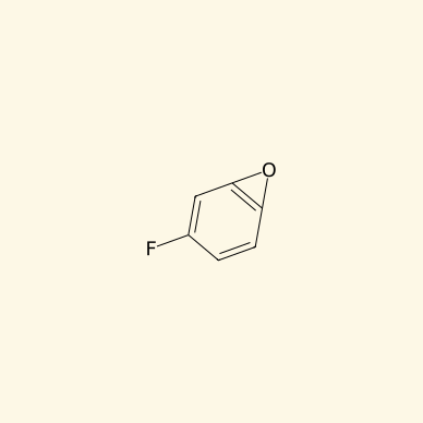 Fc1ccc2c(c1)O2